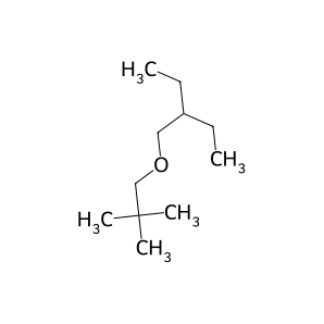 CCC(CC)COCC(C)(C)C